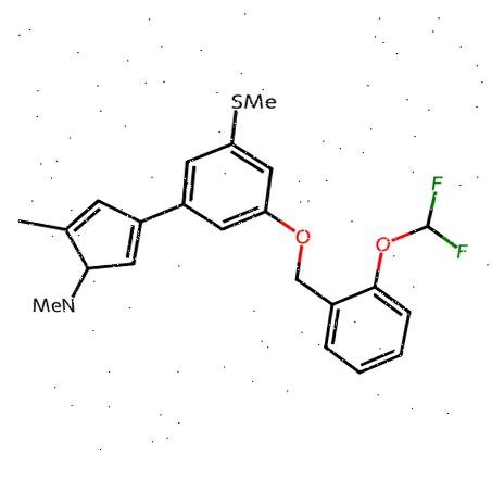 CNC1C=C(c2cc(OCc3ccccc3OC(F)F)cc(SC)c2)C=C1C